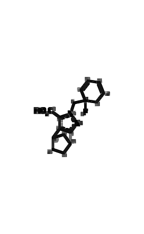 CCOC(=O)c1c2c(nn1CC1(F)C=CC=CC1)C1CCC2C1